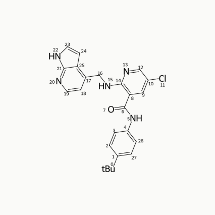 CC(C)(C)c1ccc(NC(=O)c2cc(Cl)cnc2NCc2ccnc3[nH]ccc23)cc1